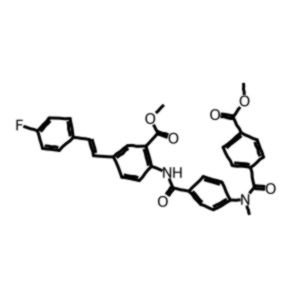 COC(=O)c1ccc(C(=O)N(C)c2ccc(C(=O)Nc3ccc(/C=C/c4ccc(F)cc4)cc3C(=O)OC)cc2)cc1